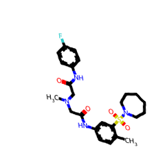 Cc1ccc(NC(=O)CN(C)CC(=O)Nc2ccc(F)cc2)cc1S(=O)(=O)N1CCCCCC1